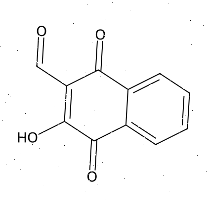 O=CC1=C(O)C(=O)c2ccccc2C1=O